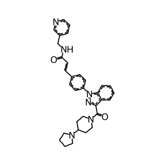 O=C(/C=C/c1ccc(-n2nc(C(=O)N3CCC(N4CCCC4)CC3)c3ccccc32)cc1)NCc1cccnc1